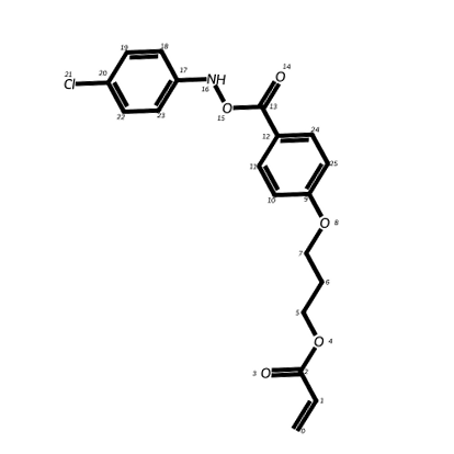 C=CC(=O)OCCCOc1ccc(C(=O)ONc2ccc(Cl)cc2)cc1